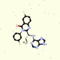 CC[C@@H](Nc1ncnc2[nH]cnc12)c1nc2ccc(F)cc2c(=O)n1-c1cccc(F)c1